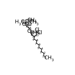 CCCCCCCCCCC(CCOCC[Si](OC)(OC)OC)CC(Cl)(Cl)Cl